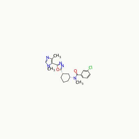 Cc1ncn(C)c1-c1nnc([C@H]2CCC[C@@H](N(C)C(=O)c3cccc(Cl)c3)C2)o1